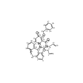 C=CCOc1cccc2c1C(N1CN(CC=C)C(=O)c3c(OCc4ccccc4)c(=O)ccn31)c1ccccc1SC2